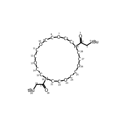 CC(C)(C)CC(=O)N1CCOCCOCCOCCN(C(=O)CC(C)(C)C)CCOCCOCC1